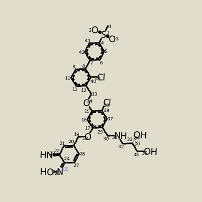 CS(=O)(=O)c1ccc(-c2cccc(COc3cc(OCC4=CC(=N)/C(=N\O)C=C4)c(CNC[C@H](O)CO)cc3Cl)c2Cl)cc1